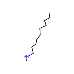 CCCCCCCCCCNC